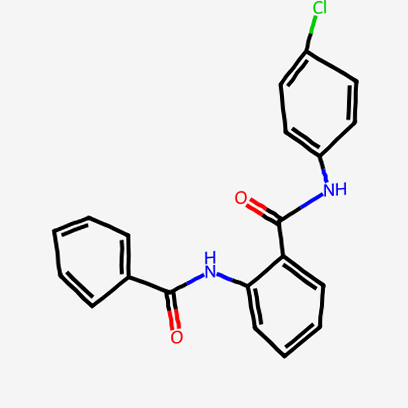 O=C(Nc1ccccc1C(=O)Nc1ccc(Cl)cc1)c1ccccc1